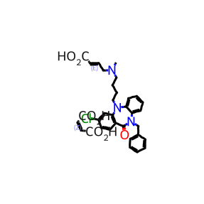 CN(C/C=C/C(=O)O)CCCCN1c2cc(Cl)ccc2C(=O)N(Cc2ccccc2)c2ccccc21.O=C(O)/C=C\C(=O)O